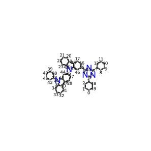 c1ccc(-c2nc(-c3ccccc3)nc(-c3ccc4c5ccccc5n(-c5ccc6c7ccccc7n(-c7ccccc7)c6c5)c4c3)n2)cc1